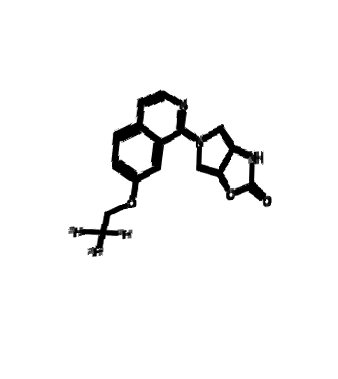 [2H]C([2H])([2H])COc1ccc2ccnc(N3CC4NC(=O)OC4C3)c2c1